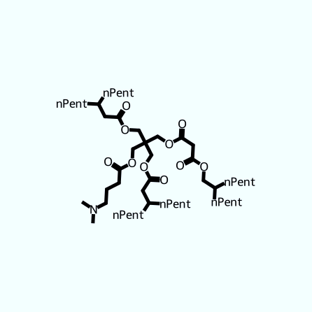 CCCCCC(CCCCC)COC(=O)CC(=O)OCC(COC(=O)CCCN(C)C)(COC(=O)CC(CCCCC)CCCCC)COC(=O)CC(CCCCC)CCCCC